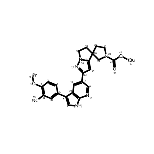 CC(C)Oc1ccc(-c2c[nH]c3ncc(-c4cc5n(n4)CCC54CCN(C(=O)OC(C)(C)C)C4)cc23)cc1C#N